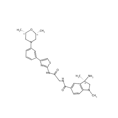 C[C@@H]1CN(c2cccc(-c3csc(NC(=O)CNC(=O)c4ccc5c(c4)[C@@](C)(N)CN5C)n3)c2)C[C@H](C)O1